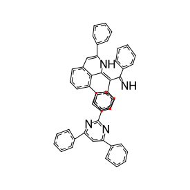 N=C(/C(=C1\NC(c2ccccc2)=Cc2cccc(-c3cccc(-c4nc(-c5ccccc5)cc(-c5ccccc5)n4)c3)c21)c1ccccc1)c1ccccc1